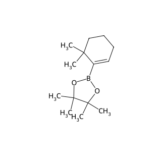 CC1(C)CCCC=C1B1OC(C)(C)C(C)(C)O1